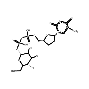 Cc1cn([C@H]2CC[C@@H](COP(=O)(O)OP(=O)(O)O[C@H]3OC(CO)[C@@H](O)C(O)C3S)O2)c(=O)[nH]c1=O